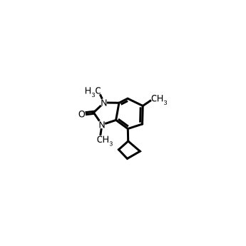 Cc1cc(C2CCC2)c2c(c1)n(C)c(=O)n2C